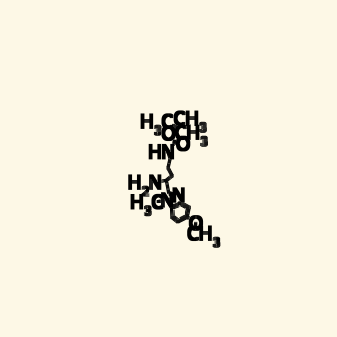 COc1ccc2c(c1)nc(C(N)CCCNC(=O)OC(C)(C)C)n2C